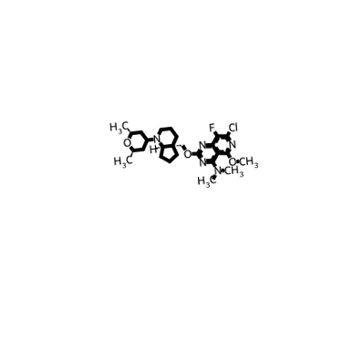 COc1nc(Cl)c(F)c2nc(OC[C@]34CCC[C@H]3N(C3C[C@@H](C)O[C@@H](C)C3)CCC4)nc(N(C)C)c12